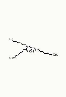 CCCCCCCCCCCCCCCCOCC(O)CN(CCCCCCO)C(=O)CCCCCCCCCCCCCCC